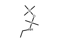 CCN[Si](C)(C)O[Si](C)(C)C